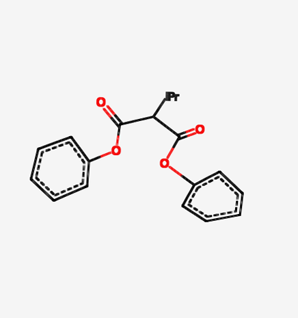 CC(C)C(C(=O)Oc1ccccc1)C(=O)Oc1ccccc1